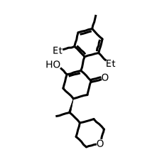 CCc1cc(C)cc(CC)c1C1=C(O)C[C@H](C(C)C2CCOCC2)CC1=O